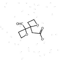 [O]C(=O)CC1(C2([C]=O)CCO2)CCO1